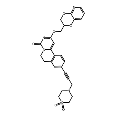 O=c1nc(OCC2COc3ncccc3O2)cc2n1CCc1cc(C#CCN3CCS(=O)(=O)CC3)ccc1-2